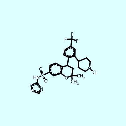 CC1(C)CC(c2ccc(C(F)(F)F)cc2C2CCN(Cl)CC2)c2ccc(S(=O)(=O)Nc3ncns3)cc2O1